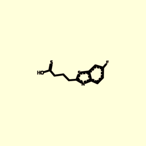 OC(=S)CCCc1nc2ccc(F)cc2s1